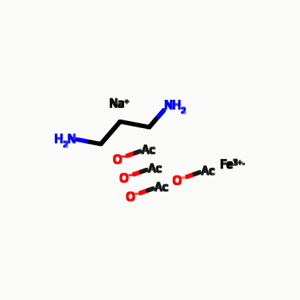 CC(=O)[O-].CC(=O)[O-].CC(=O)[O-].CC(=O)[O-].NCCCN.[Fe+3].[Na+]